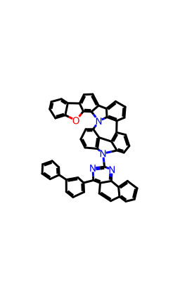 c1ccc(-c2cccc(-c3nc(-n4c5cccc6c7cccc8c9ccc%10c%11ccccc%11oc%10c9n(c9cccc4c9c65)c78)nc4c3ccc3ccccc34)c2)cc1